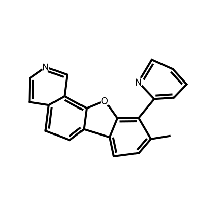 Cc1ccc2c(oc3c4cnccc4ccc23)c1-c1ccccn1